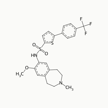 COc1cc2c(cc1NS(=O)(=O)c1ccc(-c3ccc(C(F)(F)F)cc3)s1)CCN(C)CC2